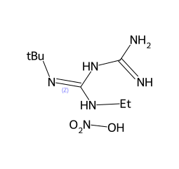 CCN/C(=N/C(C)(C)C)NC(=N)N.O=[N+]([O-])O